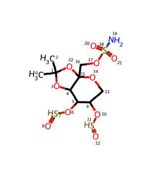 CC1(C)OC2C(O[SH]=O)C(O[SH]=O)COC2(COS(N)(=O)=O)O1